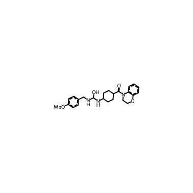 COc1ccc(CNC(O)NC2CCC(C(=O)N3CCOc4ccccc43)CC2)cc1